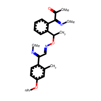 CCCOc1ccc(C(C=NOC(C)c2ccccc2C(=NOC)C(=O)OC)=NOC)c(C)c1